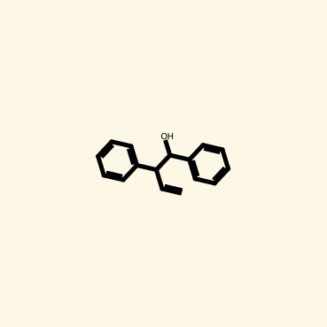 C=CC(c1ccccc1)C(O)c1ccccc1